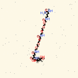 CNC(CCCCNC(=O)COCCOCCOCCNC(=O)COCCOCCOCCNC(=O)CCC(NC(=O)C(C)(C)CC(C)(C)C(=O)O)C(=O)O)C(N)=O